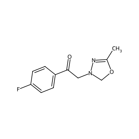 CC1=NN(CC(=O)c2ccc(F)cc2)CO1